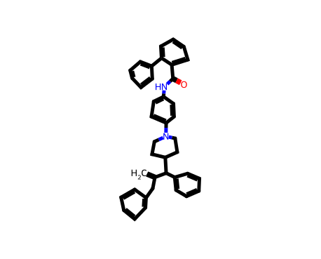 C=C(Cc1ccccc1)C(c1ccccc1)C1CCN(c2ccc(NC(=O)c3ccccc3-c3ccccc3)cc2)CC1